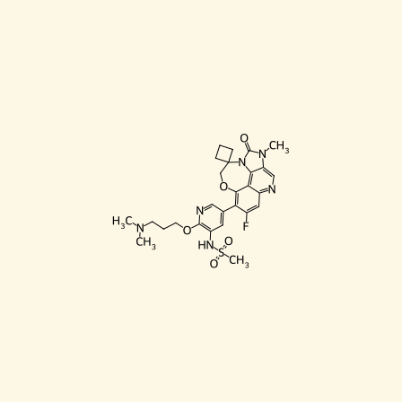 CN(C)CCCOc1ncc(-c2c(F)cc3ncc4c5c3c2OCC2(CCC2)n5c(=O)n4C)cc1NS(C)(=O)=O